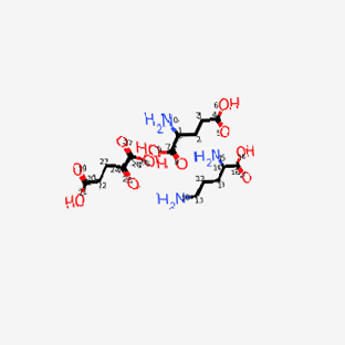 NC(CCC(=O)O)C(=O)O.NCCCC(N)C(=O)O.O=C(O)CCC(=O)C(=O)O